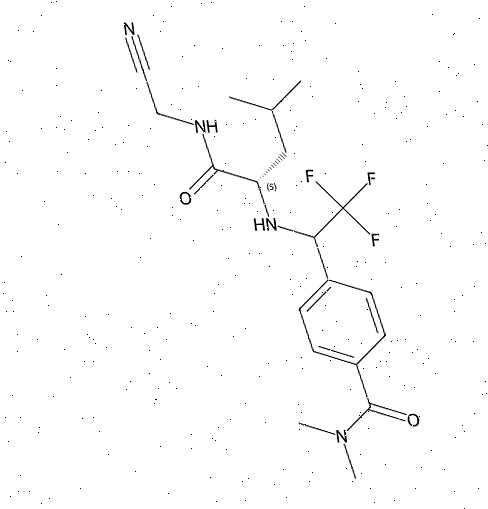 CC(C)C[C@H](NC(c1ccc(C(=O)N(C)C)cc1)C(F)(F)F)C(=O)NCC#N